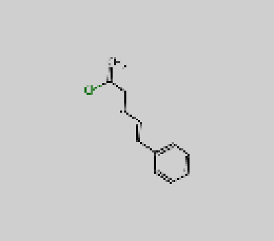 C=C(Cl)C[CH]C=Cc1ccccc1